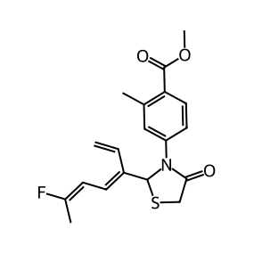 C=C/C(=C\C=C(/C)F)C1SCC(=O)N1c1ccc(C(=O)OC)c(C)c1